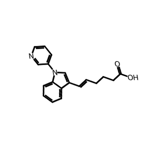 O=C(O)CCCC=Cc1cn(-c2cccnc2)c2ccccc12